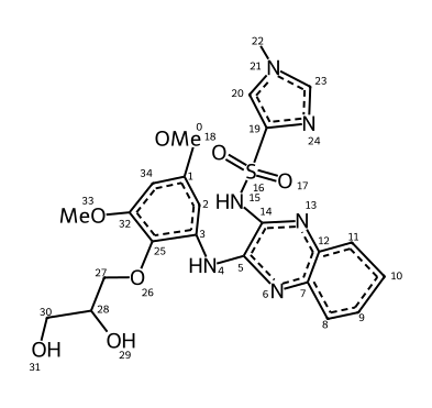 COc1cc(Nc2nc3ccccc3nc2NS(=O)(=O)c2cn(C)cn2)c(OCC(O)CO)c(OC)c1